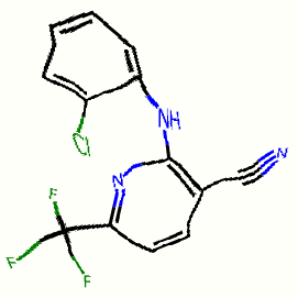 N#Cc1ccc(C(F)(F)F)nc1Nc1ccccc1Cl